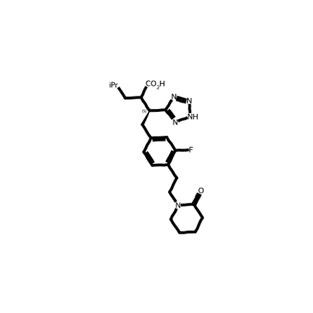 CC(C)CC(C(=O)O)[C@H](Cc1ccc(CCN2CCCCC2=O)c(F)c1)c1nn[nH]n1